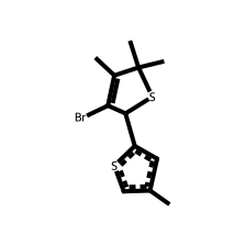 CC1=C(Br)C(c2cc(C)cs2)SC1(C)C